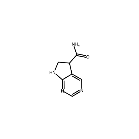 NC(=O)C1CNc2ncncc21